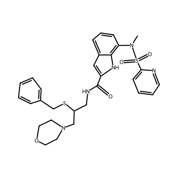 CN(c1cccc2cc(C(=O)NCC(CN3CCOCC3)SCc3ccccc3)[nH]c12)S(=O)(=O)c1ccccn1